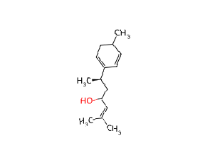 CC(C)=CC(O)C[C@@H](C)C1=CCC(C)C=C1